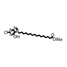 COC(=O)CCCCCCCCCCCCCCCn1cnc2nc(Cl)nc(O)c21